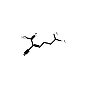 CC(C)CCC=C(C#N)C(=O)O